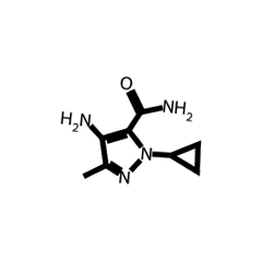 Cc1nn(C2CC2)c(C(N)=O)c1N